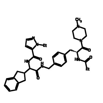 CCC(=O)N[C@H](Cc1ccc(CNC(=O)C(NC(=O)c2ccnn2CC)C2Cc3ccccc3C2)cc1)C(=O)N1CCN(C)CC1